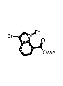 CCn1cc(Br)c2cccc(C(=O)OC)c21